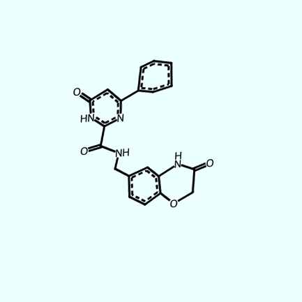 O=C1COc2ccc(CNC(=O)c3nc(-c4ccccc4)cc(=O)[nH]3)cc2N1